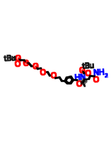 C[C@@H](OCc1ccc(CCCOCCOCCOCCOCC(=O)OC(C)(C)C)cc1)[C@H](CCC(N)=O)NC(=O)OC(C)(C)C